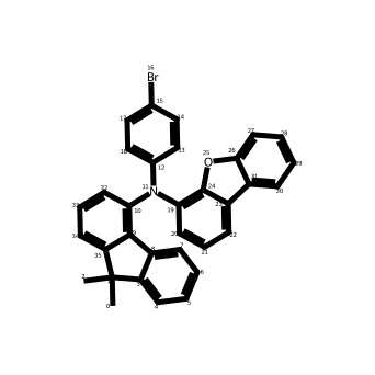 CC1(C)c2ccccc2-c2c(N(c3ccc(Br)cc3)c3cccc4c3oc3ccccc34)cccc21